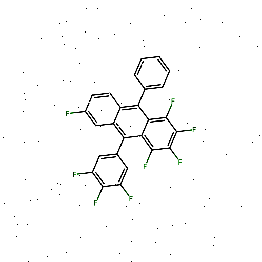 Fc1ccc2c(-c3ccccc3)c3c(F)c(F)c(F)c(F)c3c(-c3cc(F)c(F)c(F)c3)c2c1